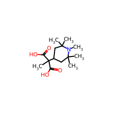 CN1C(C)(C)CC(C(C)(C(=O)O)C(=O)O)CC1(C)C